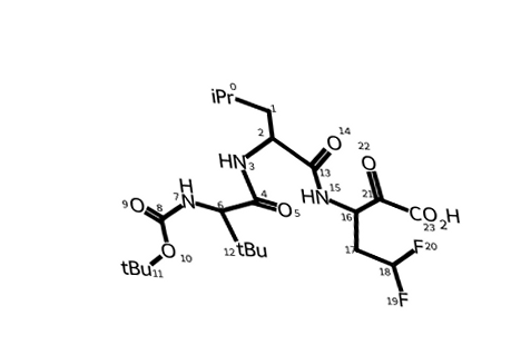 CC(C)CC(NC(=O)C(NC(=O)OC(C)(C)C)C(C)(C)C)C(=O)NC(CC(F)F)C(=O)C(=O)O